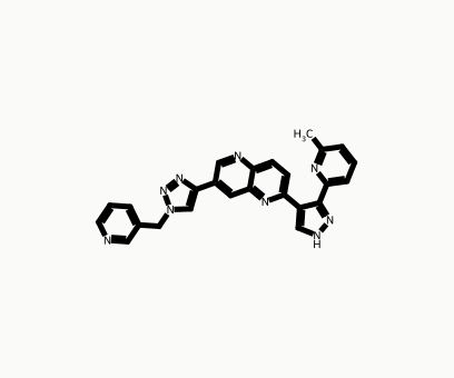 Cc1cccc(-c2n[nH]cc2-c2ccc3ncc(-c4cn(Cc5cccnc5)nn4)cc3n2)n1